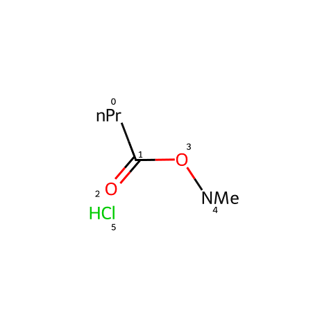 CCCC(=O)ONC.Cl